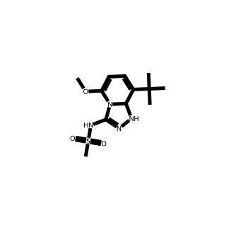 COC1=CC=C(C(C)(C)C)C2NN=C(NS(C)(=O)=O)N12